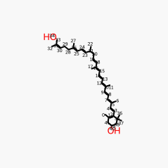 CC1=C(/C=C/C(C)=C/C=C/C(C)=C/C=C/C=C(C)/C=C/CC(C)/C=C/C=C(\C)CC/C=C(/C)CO)C(C)(C)CC(O)C1